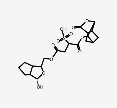 O=C(CC(C(=O)OC1C2CC3C(=O)OC1C3C2)S(=O)(=O)O)OCC1O[C@H](O)C2CCCC12